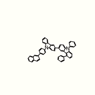 c1ccc(-c2cccc3c2c2cc(-c4ccc5c(c4)c4ccccc4n5-c4ccc(-c5ccc6ccccc6c5)cc4)ccc2n3-c2ccccc2)cc1